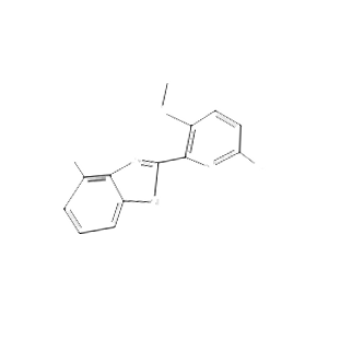 COc1ccc(Br)nc1-c1nc2c(F)cccc2[nH]1